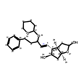 OC1C[C@@H]2[C@@H](/C=C/C(CCc3ccccc3)OC3CCCCO3)[C@H](O)C[C@@H]2O1